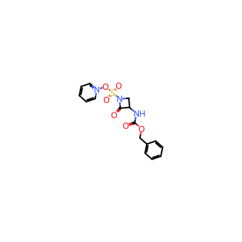 O=C(NC1CN(S(=O)(=O)O[n+]2ccccc2)C1=O)OCc1ccccc1